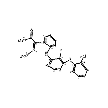 CNC(=O)/C(=N\OC)c1ccccc1Oc1ncnc(Oc2ccccc2Cl)c1F